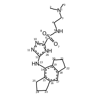 CN(C)CCNS(=O)(=O)c1nnc(Nc2c3c(cc4c2CCC4)CCC3)[nH]1